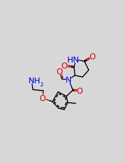 Cc1ccc(OCCN)cc1C(=O)N(C=O)C1CCC(=O)NC1=O